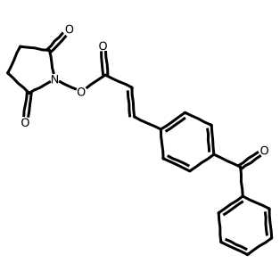 O=C(/C=C/c1ccc(C(=O)c2ccccc2)cc1)ON1C(=O)CCC1=O